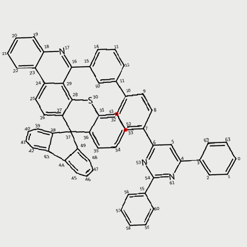 c1ccc(-c2cc(-c3ccc(-c4cccc(-c5nc6ccccc6c6ccc7c(c56)Sc5ccccc5C75c6ccccc6-c6ccccc65)c4)cc3)nc(-c3ccccc3)n2)cc1